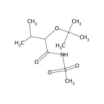 CC(C)C(OC(C)(C)C)C(=O)NS(C)(=O)=O